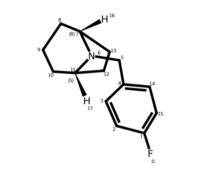 Fc1ccc(CN2[C@@H]3CCC[C@H]2CC3)cc1